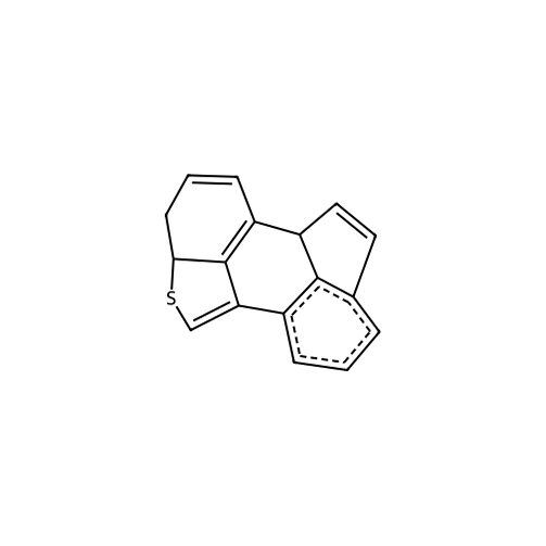 C1=CC2=C3C(=CSC3C1)c1cccc3c1C2C=C3